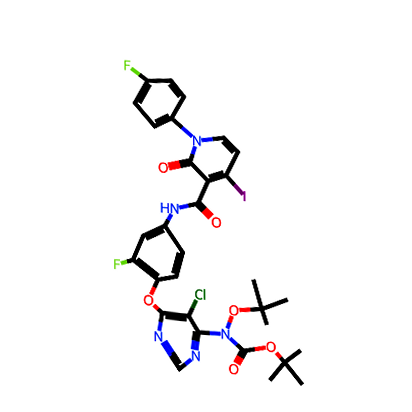 CC(C)(C)OC(=O)N(OC(C)(C)C)c1ncnc(Oc2ccc(NC(=O)c3c(I)ccn(-c4ccc(F)cc4)c3=O)cc2F)c1Cl